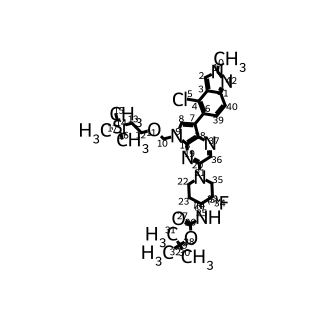 Cn1cc2c(Cl)c(-c3cn(COCC[Si](C)(C)C)c4nc(N5CC[C@@H](NC(=O)OC(C)(C)C)[C@@H](F)C5)cnc34)ccc2n1